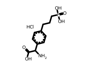 Cl.NC(C(=O)O)c1ccc(CCCP(=O)(O)O)cc1